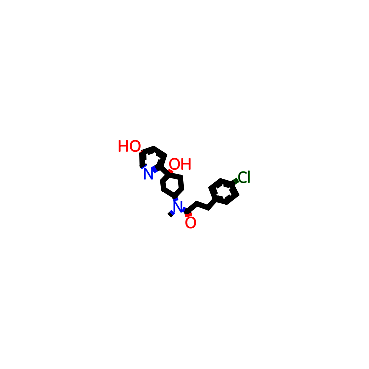 CN(C(=O)CCc1ccc(Cl)cc1)C1CCC(O)(c2ccc(O)cn2)CC1